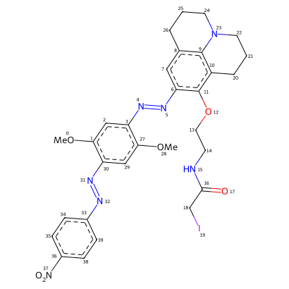 COc1cc(/N=N/c2cc3c4c(c2OCCNC(=O)CI)CCCN4CCC3)c(OC)cc1/N=N/c1ccc([N+](=O)[O-])cc1